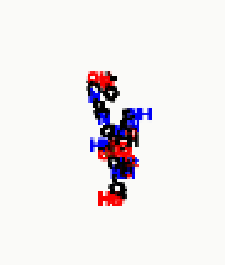 CC(C)Oc1ccccc1[C@@H]1C[C@](C)(O)CCN1C1CC2(CCN(c3ccc(C(=O)NS(=O)(=O)c4ccc(NCC5CCC(C)(O)CC5)c([N+](=O)[O-])c4)c(N4c5cc6cc[nH]c6nc5O[C@H]5COCC[C@@H]54)c3)CC2)C1